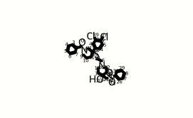 O=C(c1ccccc1)N1CCCC(SCCN2CCC(O)(CS(=O)(=O)c3ccccc3)CC2)(c2ccc(Cl)c(Cl)c2)C1